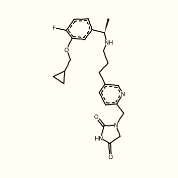 C[C@@H](NCCCc1ccc(CN2CC(=O)NC2=O)nc1)c1ccc(F)c(OCC2CC2)c1